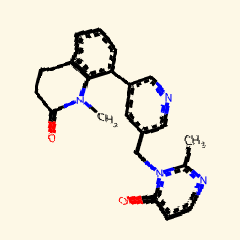 Cc1nccc(=O)n1Cc1cncc(-c2cccc3c2N(C)C(=O)CC3)c1